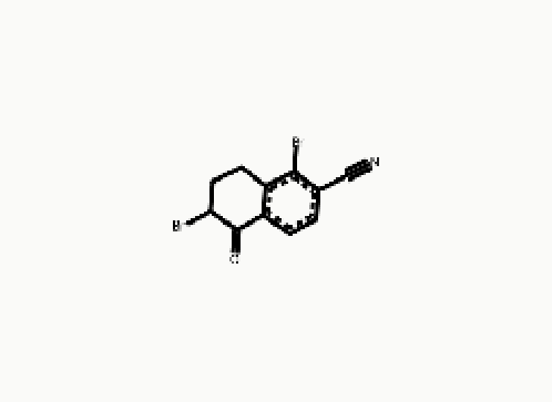 N#Cc1ccc2c(c1Br)CCC(Br)C2=O